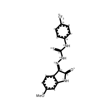 COc1ccc2c(c1)NC(=O)/C2=N\NC(=S)Nc1ccc(C(F)(F)F)cc1